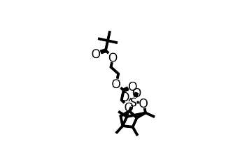 CC1C2C3CC1(C)C(C)(OCC(=O)OCCOC(=O)C(C)(C)C)C2(C)OS3(=O)=O